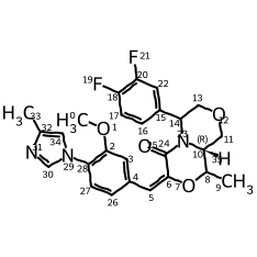 COc1cc(C=C2OC(C)[C@H]3COCC(c4ccc(F)c(F)c4)N3C2=O)ccc1-n1cnc(C)c1